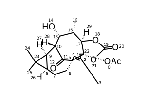 CC(=O)O[C@H]1C(C)=C[C@]23CC[C@@H]4[C@H]([C@@H](C2=O)[C@H](O)[C@H](C)[C@H]2OC(=O)O[C@@]213)C4(C)C